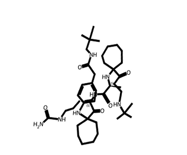 C[C@H](NC1(C(=O)CCNC(C)(C)C)CCCCCC1)C(=O)N[C@@H](CCCNC(N)=O)C(=O)C1(Nc2ccc(CC(=O)NCC(C)(C)C)cc2)CCCCCC1